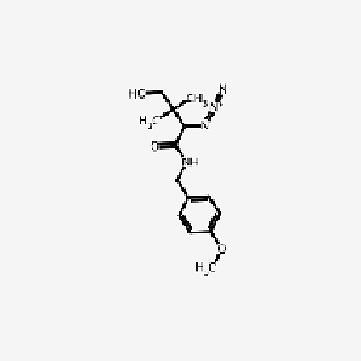 COc1ccc(CNC(=O)C(N=[N+]=[N-])C(C)(C)CO)cc1